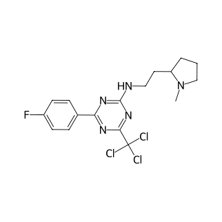 CN1CCCC1CCNc1nc(-c2ccc(F)cc2)nc(C(Cl)(Cl)Cl)n1